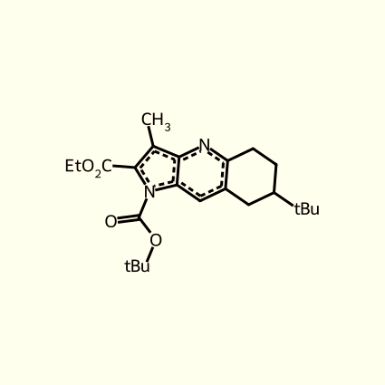 CCOC(=O)c1c(C)c2nc3c(cc2n1C(=O)OC(C)(C)C)CC(C(C)(C)C)CC3